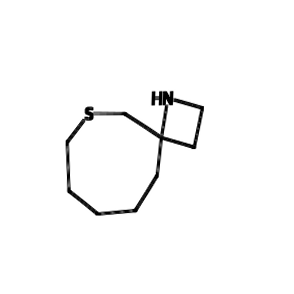 C1CCSCC2(CC1)CCN2